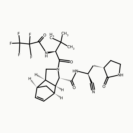 CC(C)(C)[C@H](NC(=O)C(F)(F)C(F)(F)F)C(=O)N1C[C@H]2[C@@H]([C@H]1C(=O)N[C@H](C#N)C[C@@H]1CCNC1=O)[C@H]1C=C[C@@H]2C1